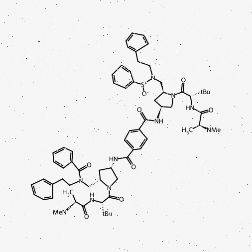 CN[C@@H](C)C(=O)N[C@H](C(=O)N1C[C@@H](NC(=O)c2ccc(C(=O)N[C@H]3C[C@@H](CN(CCc4ccccc4)[S+]([O-])c4ccccc4)N(C(=O)[C@@H](NC(=O)[C@H](C)NC)C(C)(C)C)C3)cc2)C[C@H]1CN(CCc1ccccc1)C(=O)c1ccccc1)C(C)(C)C